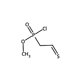 COP(=O)(Cl)CC=S